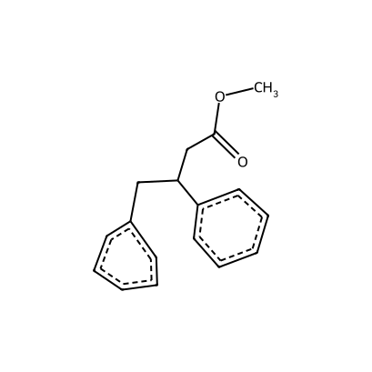 COC(=O)CC(Cc1ccccc1)c1ccccc1